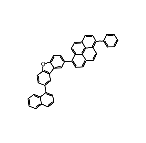 c1ccc(-c2ccc3ccc4c(-c5ccc6oc7ccc(-c8cccc9ccccc89)cc7c6c5)ccc5ccc2c3c54)cc1